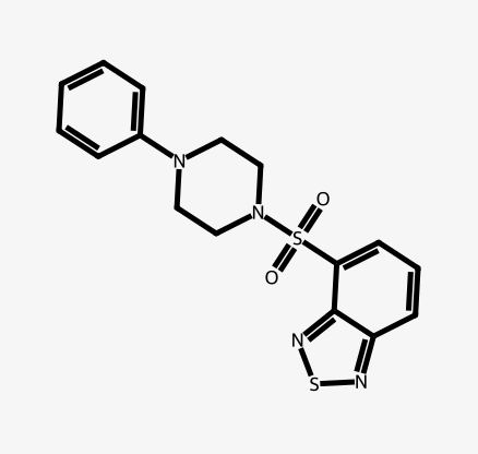 O=S(=O)(c1cccc2nsnc12)N1CCN(c2ccccc2)CC1